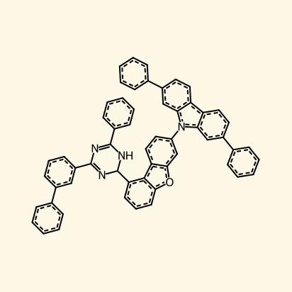 c1ccc(C2=NC(c3cccc(-c4ccccc4)c3)=NC(c3cccc4oc5cc(-n6c7cc(-c8ccccc8)ccc7c7ccc(-c8ccccc8)cc76)ccc5c34)N2)cc1